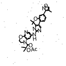 CC(=O)OC(C)(C)C(=O)N1CCOc2ncc(Nc3ncc4c(n3)C(C)(C)Oc3cc(-c5nocc5C)ccc3-4)cc21